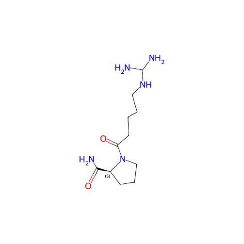 NC(=O)[C@@H]1CCCN1C(=O)CCCCNC(N)N